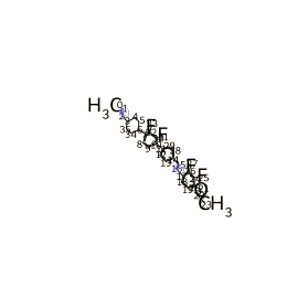 C/C=C/C1CCC(c2ccc(-c3ccc(/C=C/c4ccc(OCC)c(F)c4F)cc3)c(F)c2F)CC1